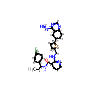 CCC(NC(=O)c1cccnc1NCc1ccc(-c2ccc3ncnc(N=N)c3c2)s1)c1ccc(F)cc1